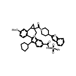 COc1ccc2c(c1)C1CC1(C(=O)N1CCC(c3cc4ccccc4o3)CC1)Cn1c-2c(C2CCCCC2)c2ccc(C(=O)NS(=O)(=O)C(C)C)cc21